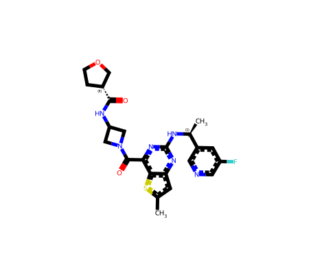 Cc1cc2nc(N[C@@H](C)c3cncc(F)c3)nc(C(=O)N3CC(NC(=O)[C@@H]4CCOC4)C3)c2s1